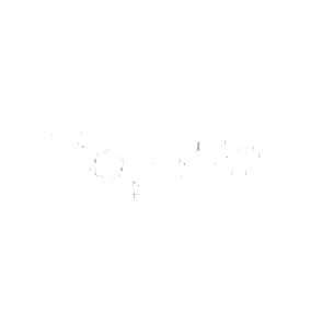 CC(C)(C)OC(=O)N1CCC(Nc2ccc(N3CCOCC3)nc2)CC1